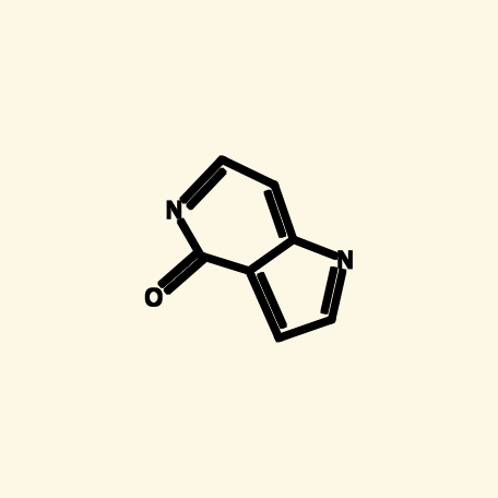 O=C1N=CC=C2N=CC=C12